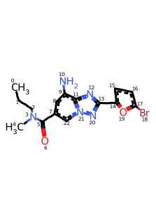 CCCN(C)C(=O)c1cc(N)c2nc(-c3ccc(Br)o3)nn2c1